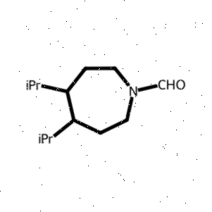 CC(C)C1CCN(C=O)CCC1C(C)C